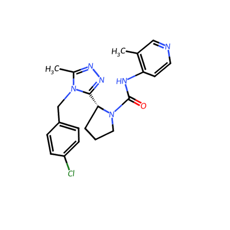 Cc1cnccc1NC(=O)N1CCC[C@@H]1c1nnc(C)n1Cc1ccc(Cl)cc1